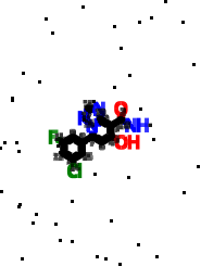 [NH]C(=O)c1c(O)cc(-c2cc(F)cc(Cl)c2)n2ncnc12